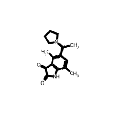 Cc1cc(C(C)N2CCCC2)c(C)c2c1NC(=O)C2=O